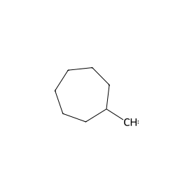 [CH]C1CCCCCC1